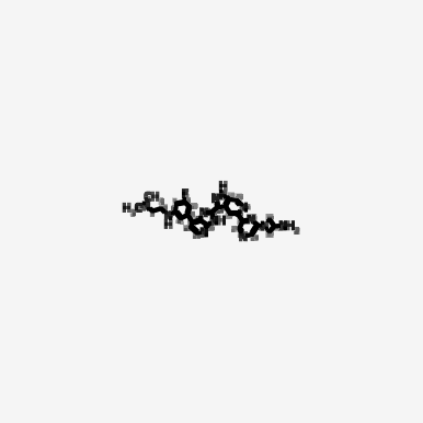 CN(C)CCNc1cc(F)cc(-c2ccnc3[nH]c(-c4n[nH]c5cnc(-c6cncc(N7CC(N)C7)n6)cc45)nc23)c1